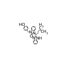 CC(C)CCC(c1nc2ccccc2[nH]1)n1c(=O)n(Cc2ccc(O)cc2)c2ccccc21